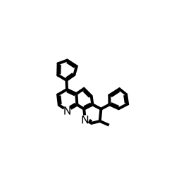 CC1C=Nc2c(ccc3c(-c4ccccc4)ccnc23)C1c1ccccc1